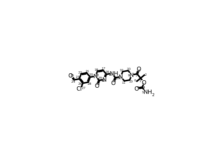 CC(C)(OC(N)=O)C(=O)N1CCN(C(=O)Nc2ccn(-c3ccc(C=O)c(Cl)c3)c(=O)n2)CC1